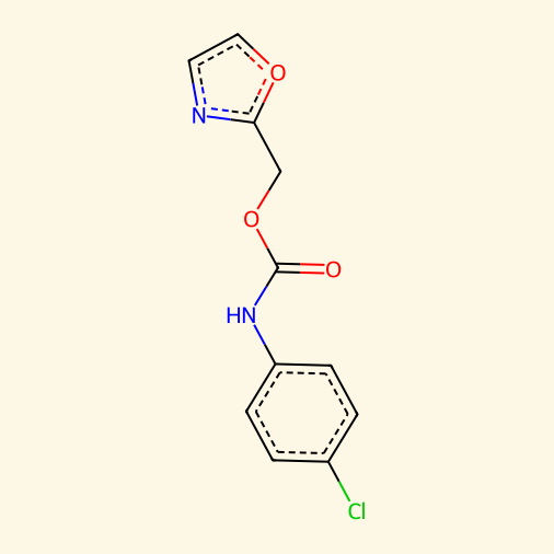 O=C(Nc1ccc(Cl)cc1)OCc1ncco1